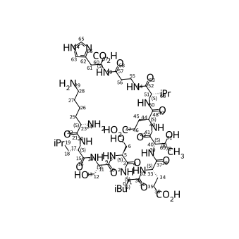 CC[C@H](C)[C@H](NC(=O)[C@H](CO)NC(=O)[C@H](CO)NC(=O)[C@H](CC(C)C)NC(=O)[C@@H](N)CCCCN)C(=O)N[C@@H](CCC(=O)O)C(=O)N[C@H](C(=O)N[C@@H](CCC(=O)O)C(=O)N[C@H](C(=O)NCCC(=O)N[C@@H](Cc1c[nH]cn1)C(=O)O)C(C)C)[C@@H](C)O